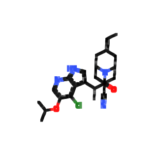 CC=C1CC2CC(C#N)CC(C1)N2C(=O)C(C)c1c[nH]c2ncc(OC(C)C)c(Cl)c12